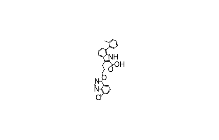 Cc1ccccc1-c1cccc2c(CCCOc3ncnc4c(Cl)cccc34)c(C(=O)O)[nH]c12